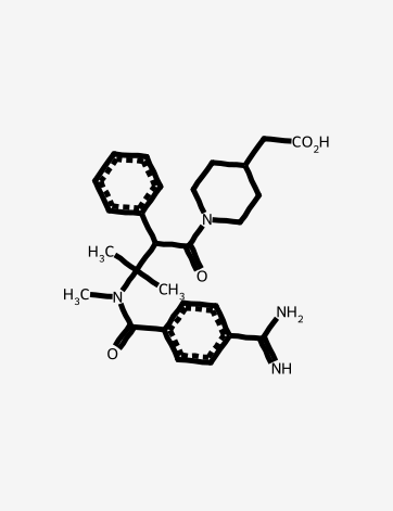 CN(C(=O)c1ccc(C(=N)N)cc1)C(C)(C)C(C(=O)N1CCC(CC(=O)O)CC1)c1ccccc1